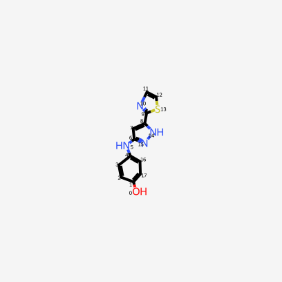 Oc1ccc(Nc2cc(-c3nccs3)[nH]n2)cc1